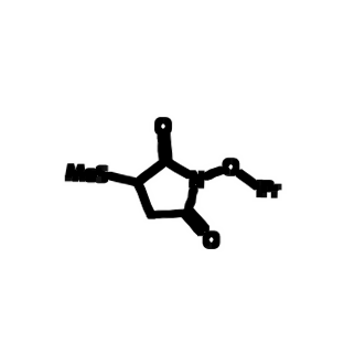 CSC1CC(=O)N(OC(C)C)C1=O